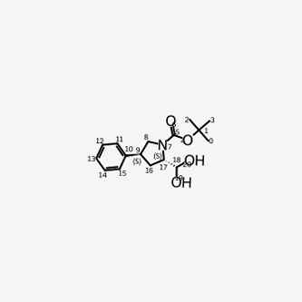 CC(C)(C)OC(=O)N1C[C@H](c2ccccc2)C[C@H]1C(O)O